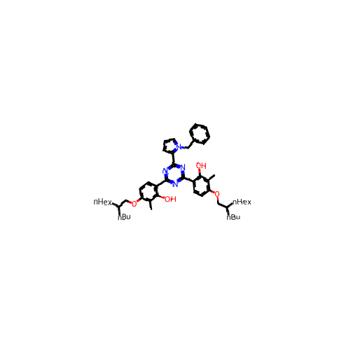 CCCCCCC(CCCC)COc1ccc(-c2nc(-c3ccc(OCC(CCCC)CCCCCC)c(C)c3O)nc(-c3cccn3Cc3ccccc3)n2)c(O)c1C